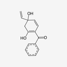 C=CC1(O)C=CC(C(=O)c2ccccc2)=C(O)C1